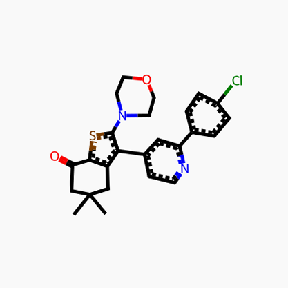 CC1(C)CC(=O)c2sc(N3CCOCC3)c(-c3ccnc(-c4ccc(Cl)cc4)c3)c2C1